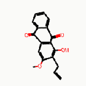 C=CCc1c(OC)cc2c(c1O)C(=O)c1ccccc1C2=O